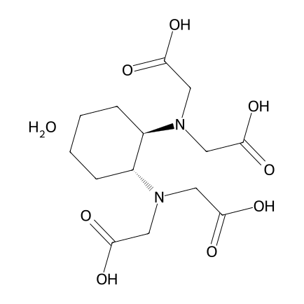 O.O=C(O)CN(CC(=O)O)[C@@H]1CCCC[C@H]1N(CC(=O)O)CC(=O)O